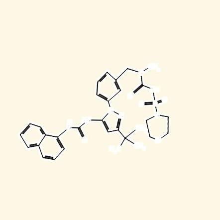 CN(Cc1cccc(-n2nc(C(C)(C)C)cc2NC(=O)Nc2cccc3ccccc23)c1)C(=O)NS(=O)(=O)N1CCOCC1